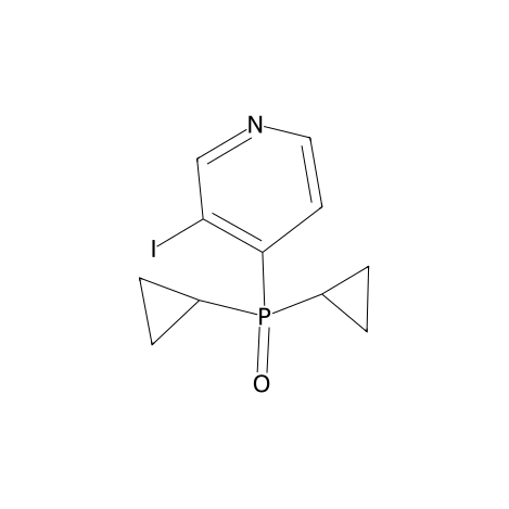 O=P(c1ccncc1I)(C1CC1)C1CC1